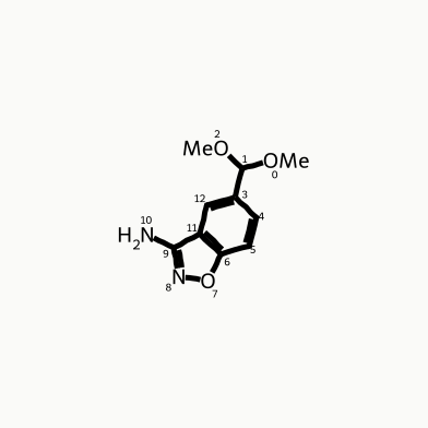 COC(OC)c1ccc2onc(N)c2c1